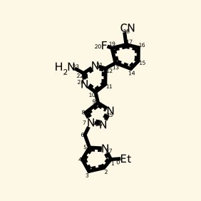 CCc1cccc(Cn2cc(-c3cc(-c4cccc(C#N)c4F)nc(N)n3)nn2)n1